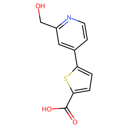 O=C(O)c1ccc(-c2ccnc(CO)c2)s1